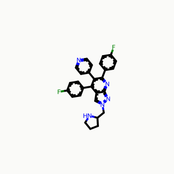 Fc1ccc(-c2nc3nn(CC4CCCN4)cc3c(-c3ccc(F)cc3)c2-c2ccncc2)cc1